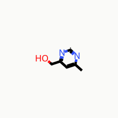 Cc1cc(CO)n[c]n1